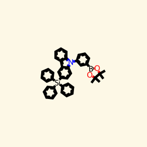 CC1(C)OB(c2cccc(-n3c4ccccc4c4cc([Si](c5ccccc5)(c5ccccc5)c5ccccc5)ccc43)c2)OC1(C)C